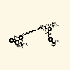 Cc1ncsc1-c1ccc(CNC(=O)[C@@H]2C[C@@H](O[Si](C)(C)C(C)(C)C)CN2C(=O)[C@@H](NC(=O)CCOCCCCCCCOc2cc(F)c([C@@H]3c4[nH]c5ccccc5c4C[C@@H](C)N3CC(C)(C)F)c(F)c2)C(C)(C)C)cc1